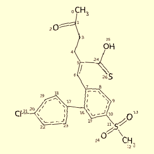 CC(=O)CC/C(=C/c1ccc(S(C)(=O)=O)cc1-c1ccc(Cl)cc1)C(O)=S